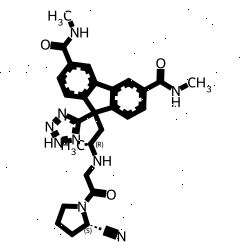 CNC(=O)c1ccc2c(c1)-c1cc(C(=O)NC)ccc1C2(C[C@@H](C)NCC(=O)N1CCC[C@H]1C#N)c1nn[nH]n1